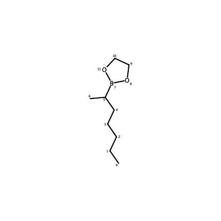 CCCCCC(C)B1OCCO1